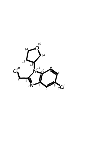 ClCc1nc2cc(Cl)ccc2n1C1CCOC1